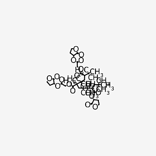 CC(C)(C)CC(C(=O)OC1CCOC1=O)C(C)(C)C(C)(C)CC(C)(C(=O)OCC(=O)OC1CCOC1=O)C(C)(C)CC(C(=O)OCC(=O)OC1CCOC1=O)C(C)(C)C